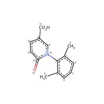 Cc1cccc(C)c1-n1cc(C(=O)O)ccc1=O